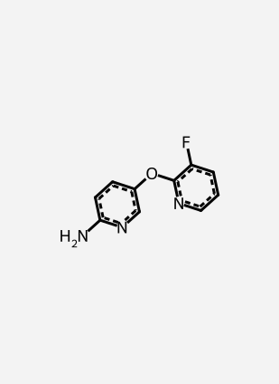 Nc1ccc(Oc2ncccc2F)cn1